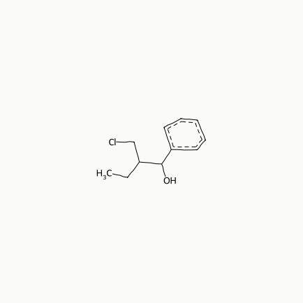 CCC(CCl)C(O)c1ccccc1